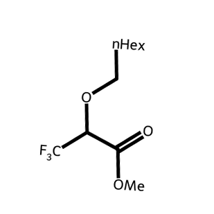 CCCCCCCOC(C(=O)OC)C(F)(F)F